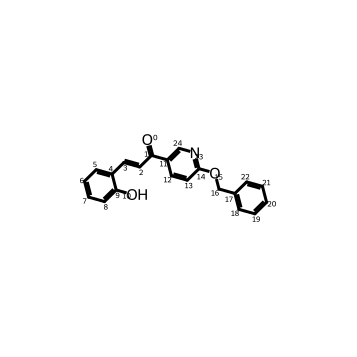 O=C(C=Cc1ccccc1O)c1ccc(OCc2ccccc2)nc1